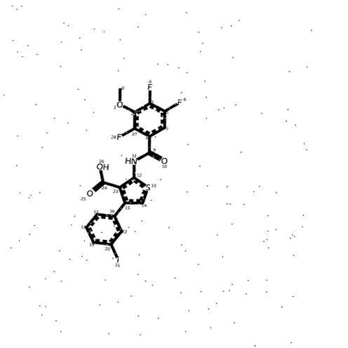 COc1c(F)c(F)cc(C(=O)Nc2scc(-c3cccc(I)c3)c2C(=O)O)c1F